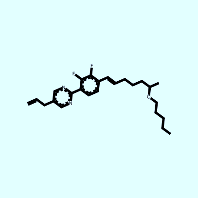 C=CCc1cnc(-c2ccc(/C=C/CCCC(C)OCCCCC)c(F)c2F)nc1